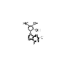 Cc1nc(Cl)nc2c1ncn2[C@H]1C[C@@H](O)[C@H](O)[C@@H]1O